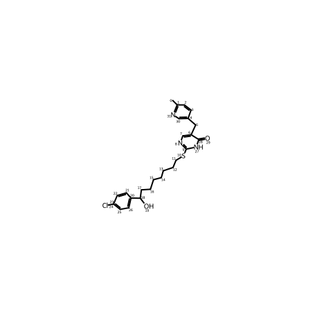 Cc1ccc(Cc2cnc(SCCCCCCCC(O)c3ccc(Cl)cc3)[nH]c2=O)cn1